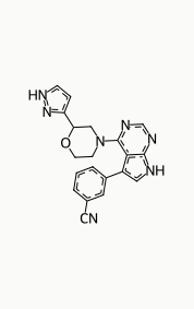 N#Cc1cccc(-c2c[nH]c3ncnc(N4CCOC(c5cc[nH]n5)C4)c23)c1